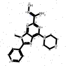 Cn1c(-c2ccncc2)nc2c(N3CCOCC3)nc(/C(N)=N/O)nc21